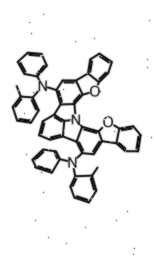 Cc1ccccc1N(c1ccccc1)c1cc2c3ccccc3oc2c2c1c1cccc3c4c(N(c5ccccc5)c5ccccc5C)cc5c6ccccc6oc5c4n2c13